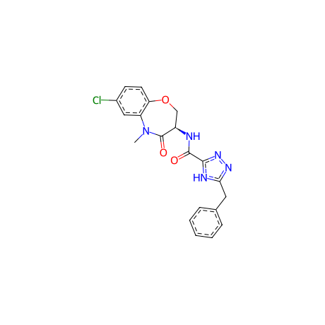 CN1C(=O)[C@H](NC(=O)c2nnc(Cc3ccccc3)[nH]2)COc2ccc(Cl)cc21